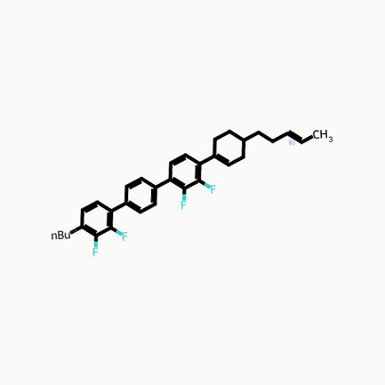 C/C=C/CCC1CC=C(c2ccc(-c3ccc(-c4ccc(CCCC)c(F)c4F)cc3)c(F)c2F)CC1